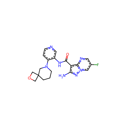 Nc1nn2cc(F)cnc2c1C(=O)Nc1cnccc1N1CCCC2(COC2)C1